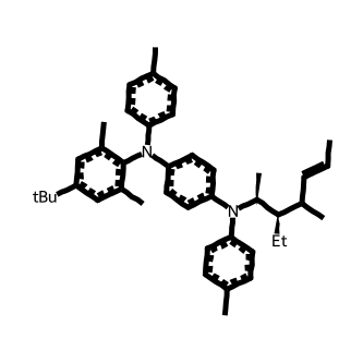 C/C=C/C(C)[C@@H](CC)[C@H](C)N(c1ccc(C)cc1)c1ccc(N(c2ccc(C)cc2)c2c(C)cc(C(C)(C)C)cc2C)cc1